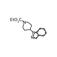 CCOC(=O)N1CCC(n2ncc3ccccc32)CC1